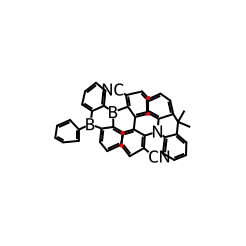 CC1(C)c2ccccc2N(c2c(C#N)cccc2-c2cccc(C#N)c2B2c3ccccc3B(c3ccccc3)c3ccccc32)c2ccccc21